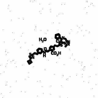 Cc1nnc2n1-c1sc(CCc3ccc(CC(=O)Nc4cccc(/C=C/c5nc(C6CCC6)cs5)c4)c(C(=O)O)c3)cc1C(c1ccccc1Cl)=NC2.O